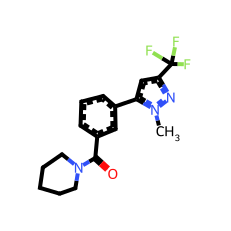 Cn1nc(C(F)(F)F)cc1-c1cccc(C(=O)N2CCCCC2)c1